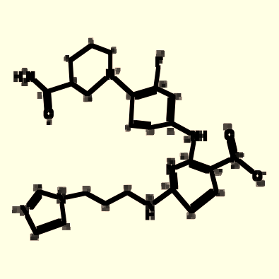 NC(=O)C1CCCN(c2ccc(Nc3nc(NCCCn4ccnc4)ccc3[N+](=O)[O-])cc2F)C1